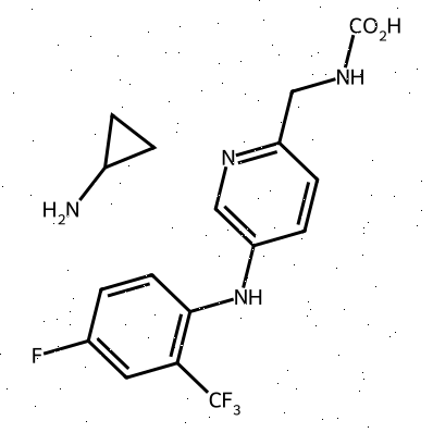 NC1CC1.O=C(O)NCc1ccc(Nc2ccc(F)cc2C(F)(F)F)cn1